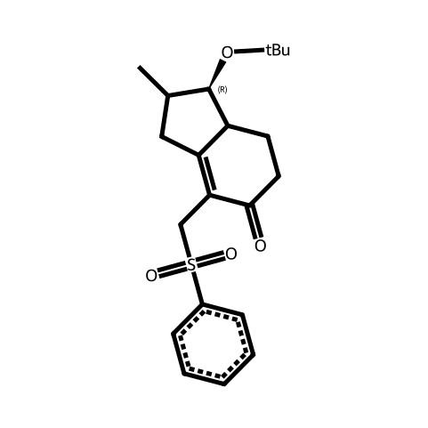 CC1CC2=C(CS(=O)(=O)c3ccccc3)C(=O)CCC2[C@@H]1OC(C)(C)C